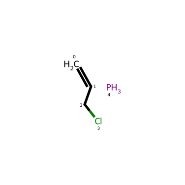 C=CCCl.P